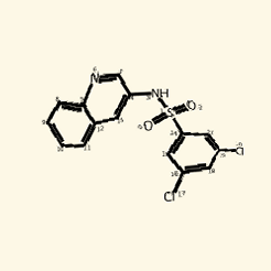 O=S(=O)(Nc1cnc2ccccc2c1)c1cc(Cl)cc(Cl)c1